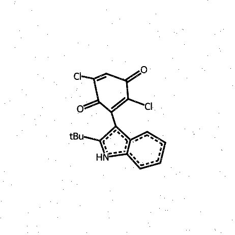 CC(C)(C)c1[nH]c2ccccc2c1C1=C(Cl)C(=O)C=C(Cl)C1=O